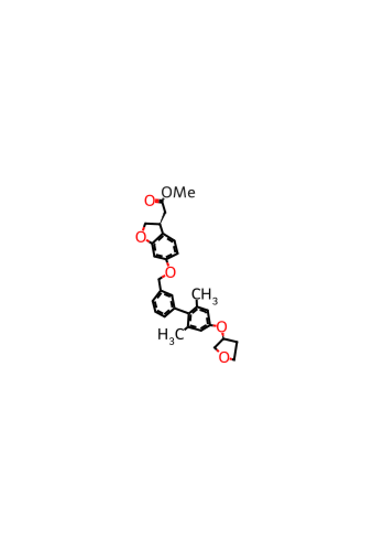 COC(=O)C[C@@H]1COc2cc(OCc3cccc(-c4c(C)cc(O[C@H]5CCOC5)cc4C)c3)ccc21